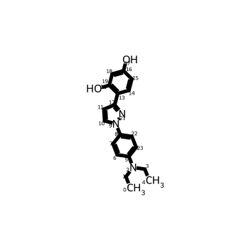 CCN(CC)c1ccc(-n2ccc(-c3ccc(O)cc3O)n2)cc1